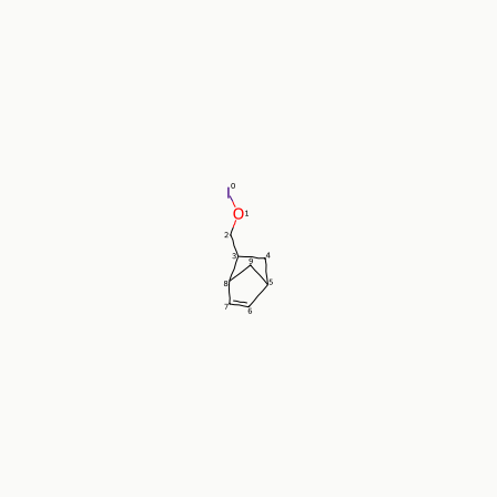 IOCC1CC2C=CC1C2